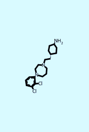 N[C@H]1CC[C@H](CCN2CCCN(c3cccc(Cl)c3Cl)CC2)CC1